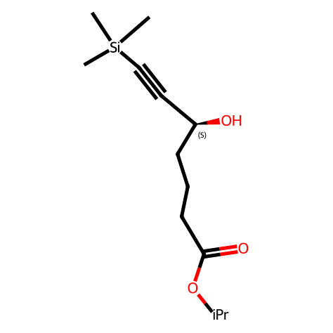 CC(C)OC(=O)CCC[C@H](O)C#C[Si](C)(C)C